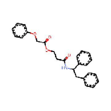 O=C(CCOC(=O)COc1ccccc1)NC(Cc1ccccc1)c1ccccc1